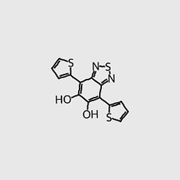 Oc1c(O)c(-c2cccs2)c2nsnc2c1-c1cccs1